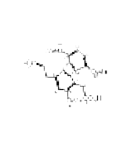 C=CCc1ccc(CC(=O)O)c(OC)c1.COc1ccc(OC)cc1